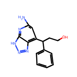 Nc1cc(C(CCO)c2ccccc2)c2nn[nH]c2n1